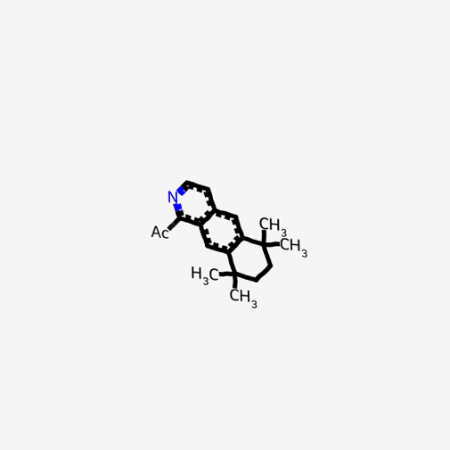 CC(=O)c1nccc2cc3c(cc12)C(C)(C)CCC3(C)C